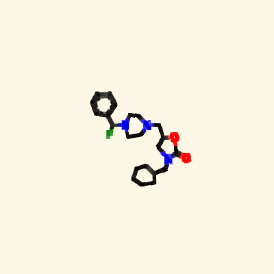 O=C1OC(CN2CCN(C(F)c3ccccc3)CC2)CN1CC1CCCCC1